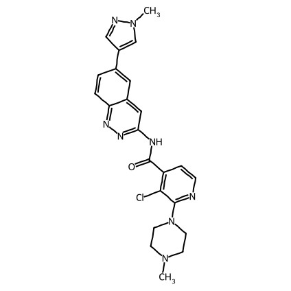 CN1CCN(c2nccc(C(=O)Nc3cc4cc(-c5cnn(C)c5)ccc4nn3)c2Cl)CC1